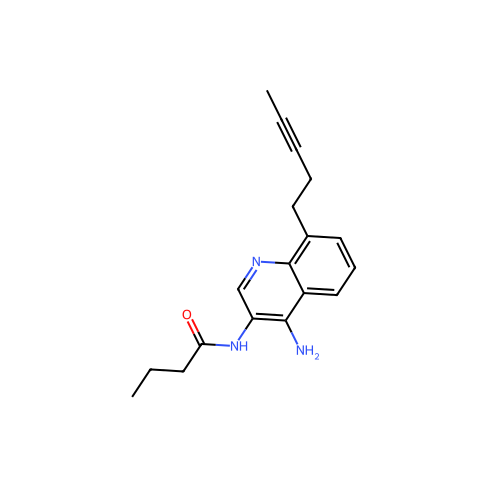 CC#CCCc1cccc2c(N)c(NC(=O)CCC)cnc12